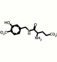 NC(CCC(=O)O)C(=O)NCc1ccc(C(=O)O)c(O)c1